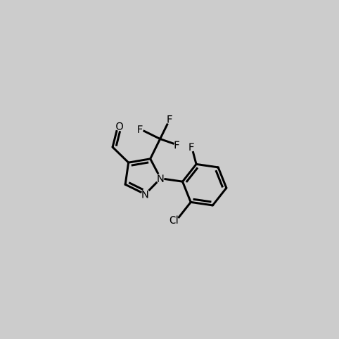 O=Cc1cnn(-c2c(F)cccc2Cl)c1C(F)(F)F